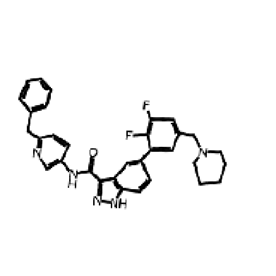 O=C(Nc1ccc(Cc2ccccc2)nc1)c1n[nH]c2ccc(-c3cc(CN4CCCCC4)cc(F)c3F)cc12